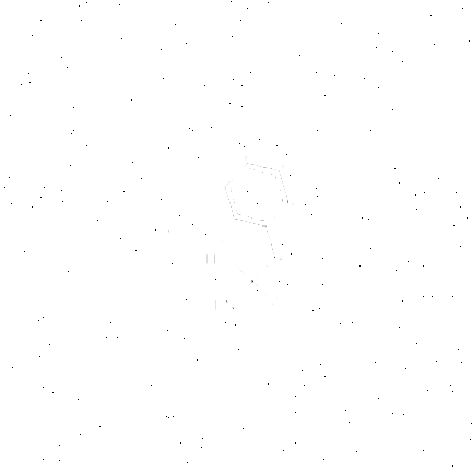 CC(C)(N)Cc1ccccc1.Cl.O